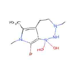 CN1CCc2c(c(Br)n(C)c2C(=O)O)[N+](O)(O)N1